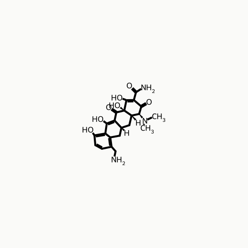 CN(C)[C@@H]1C(=O)C(C(N)=O)=C(O)[C@@]2(O)C(=O)C3=C(O)c4c(O)ccc(CN)c4C[C@H]3C[C@@H]12